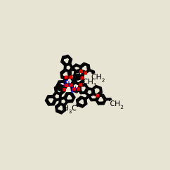 C=Cc1ccc(CC2(c3ccc(C)cc3)C3=C(CCC=C3)c3ccc(N(C4=c5ccccc5=C[C@H](C)C4)c4ccc5c(c4)C4(c6ccccc6-5)c5ccccc5-c5ccc(N(c6ccc7c(c6)C(Cc6ccc(C=C)cc6)(c6ccc(C)cc6)c6ccccc6-7)c6cccc7ccccc67)cc54)cc32)cc1